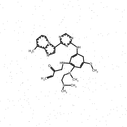 C=CC(=O)CNC1=C(N(C)CCN(C)C)C=C(OC)CC(Nc2ncnc(-c3cnc4c(C)cccn34)n2)=C1